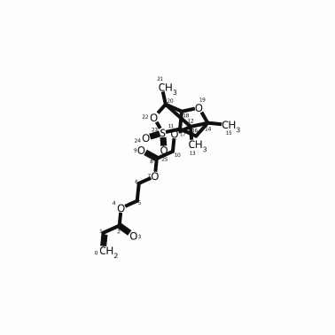 C=CC(=O)OCCOC(=O)COC1(C)C2(C)CC3C(O2)C1(C)OS3(=O)=O